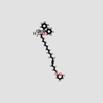 CC(CCCCCCCCCCCCC#CCCCCOC1CCCCO1)O[Si](c1ccccc1)(c1ccccc1)C(C)(C)C